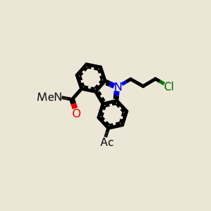 CNC(=O)c1cccc2c1c1cc(C(C)=O)ccc1n2CCCCl